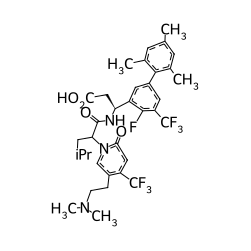 Cc1cc(C)c(-c2cc([C@H](CC(=O)O)NC(=O)C(CC(C)C)n3cc(CCN(C)C)c(C(F)(F)F)cc3=O)c(F)c(C(F)(F)F)c2)c(C)c1